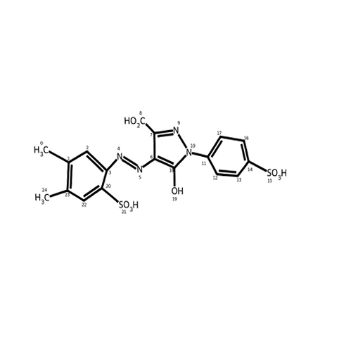 Cc1cc(N=Nc2c(C(=O)O)nn(-c3ccc(S(=O)(=O)O)cc3)c2O)c(S(=O)(=O)O)cc1C